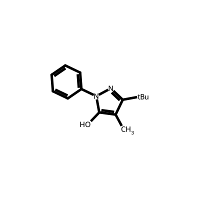 Cc1c(C(C)(C)C)nn(-c2ccccc2)c1O